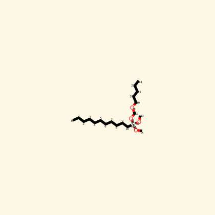 CCCCCCCCCCC[Si](OC)(OC)OCOCCCCC